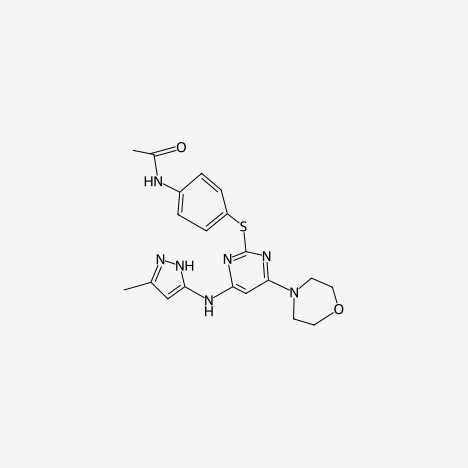 CC(=O)Nc1ccc(Sc2nc(Nc3cc(C)n[nH]3)cc(N3CCOCC3)n2)cc1